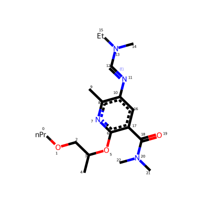 CCCOCC(C)Oc1nc(C)c(/N=C/N(C)CC)cc1C(=O)N(C)C